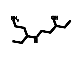 CCC(O)CCNC(CC)CCN